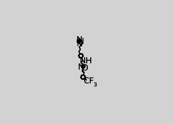 FC(F)(F)c1cccc(/C=C/c2nc(CNc3ccc(CCCCn4ccnn4)cc3)co2)c1